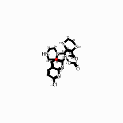 O=CO[N+]1(c2ccc3ccc(Cl)nc3n2)C(=O)C2=C(SCCS2)C1N1CCNCC1